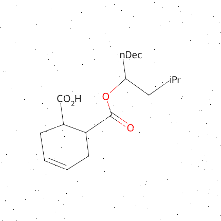 CCCCCCCCCCC(CC(C)C)OC(=O)C1CC=CCC1C(=O)O